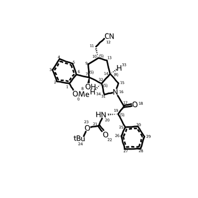 COc1ccccc1[C@]1(O)C[C@H](CC#N)C[C@H]2CN(C(=O)[C@@H](NC(=O)OC(C)(C)C)c3ccccc3)C[C@H]21